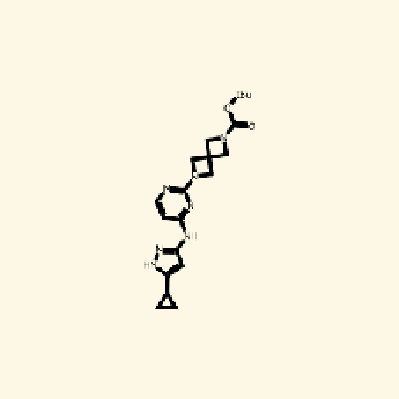 CC(C)(C)OC(=O)N1CC2(C1)CN(c1nccc(Nc3cc(C4CC4)[nH]n3)n1)C2